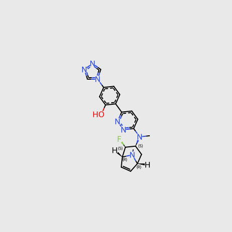 CN(c1ccc(-c2ccc(-n3cnnc3)cc2O)nn1)[C@H]1C[C@@H]2C=C[C@H]([C@H]1F)N2C